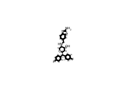 Nc1nc2ccc(CN[C@@H]3CO[C@H](C(c4ccc(F)cc4)c4ccc(F)cc4)C[C@H]3O)cc2s1